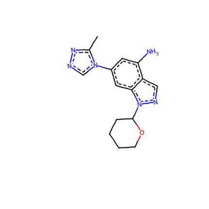 Cc1nncn1-c1cc(N)c2cnn(C3CCCCO3)c2c1